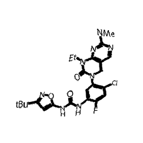 CCN1C(=O)N(c2cc(NC(=O)Nc3cc(C(C)(C)C)no3)c(F)cc2Cl)Cc2cnc(NC)nc21